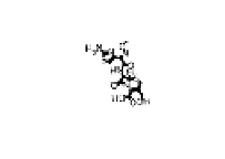 CO/N=C(/C(=O)N[C@@H]1C(=O)N2C(C(=O)O)=C(CO)CS[C@H]12)c1csc(N)n1